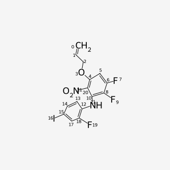 C=CCOc1cc(F)c(F)c(Nc2ccc(I)cc2F)c1[N+](=O)[O-]